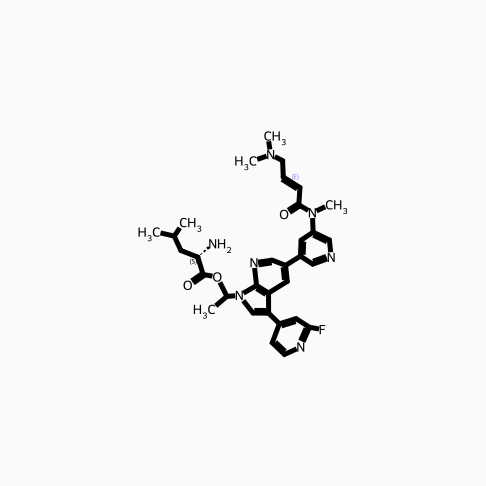 CC(C)C[C@H](N)C(=O)OC(C)n1cc(-c2ccnc(F)c2)c2cc(-c3cncc(N(C)C(=O)/C=C/CN(C)C)c3)cnc21